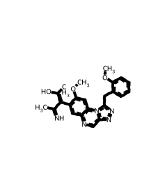 COc1ccccc1Cc1nnc2cnc3cc(/C(C(C)=N)=C(\C)O)c(OC)cc3n12